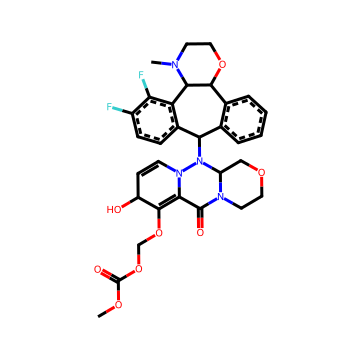 COC(=O)OCOC1=C2C(=O)N3CCOCC3N(C3c4ccccc4C4OCCN(C)C4c4c3ccc(F)c4F)N2C=CC1O